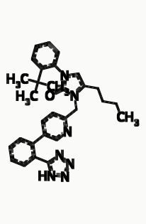 CCCCc1cn(-c2ccccc2C(C)(C)C)c(=O)n1Cc1ccc(-c2ccccc2-c2nnn[nH]2)cn1